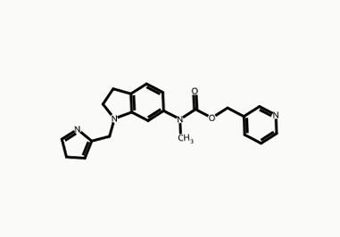 CN(C(=O)OCc1cccnc1)c1ccc2c(c1)N(CC1=CCC=N1)CC2